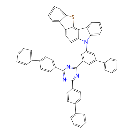 c1ccc(-c2ccc(-c3nc(-c4ccc(-c5ccccc5)cc4)nc(-c4cc(-c5ccccc5)cc(-n5c6ccccc6c6c7sc8ccccc8c7ccc65)c4)n3)cc2)cc1